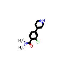 CN(C)C(=O)c1ccc(C2=CCNCC2)cc1Cl